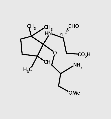 COCC(N)COC1(N[C@H](C=O)CC(=O)O)C(C)(C)CCC1(C)C